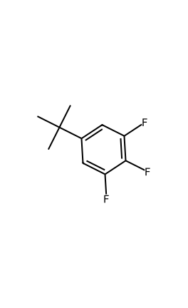 CC(C)(C)c1cc(F)c(F)c(F)c1